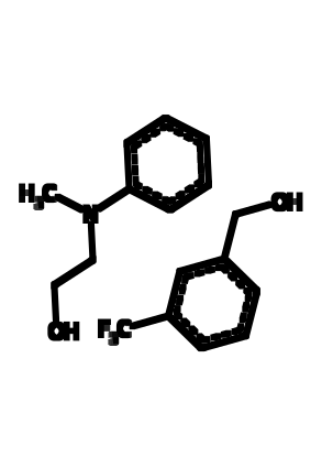 CN(CCO)c1ccccc1.OCc1cccc(C(F)(F)F)c1